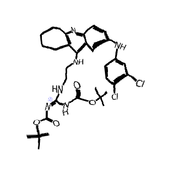 CC(C)(C)OC(=O)/N=C(/NCCNc1c2c(nc3ccc(Nc4ccc(Cl)c(Cl)c4)cc13)CCCC2)NC(=O)OC(C)(C)C